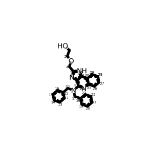 OCCOCc1nc2c(N(Cc3ccccc3)Cc3ccccc3)nc3ccccc3c2[nH]1